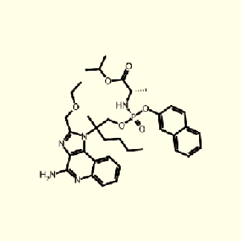 CCCCC(C)(CO[P@](=O)(N[C@@H](C)C(=O)OC(C)C)Oc1ccc2ccccc2c1)n1c(COCC)nc2c(N)nc3ccccc3c21